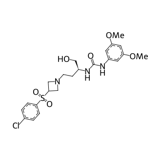 COc1cc(NC(=O)N[C@H](CO)CCN2CC(S(=O)(=O)c3ccc(Cl)cc3)C2)cc(OC)c1